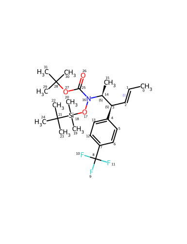 C/C=C/[C@@H](c1ccc(C(F)(F)F)cc1)[C@H](C)N(O[Si](C)(C)C(C)(C)C)C(=O)OC(C)(C)C